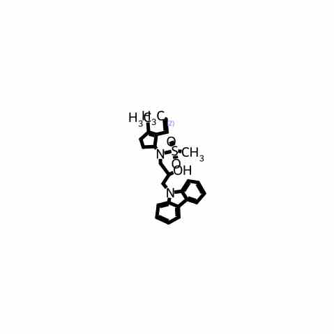 C/C=C\C1=C(C)CCC1N(CC(O)Cn1c2ccccc2c2ccccc21)S(C)(=O)=O